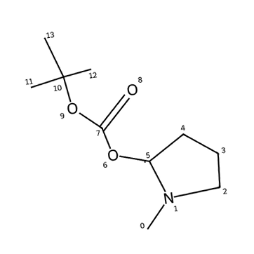 CN1CCC[C]1OC(=O)OC(C)(C)C